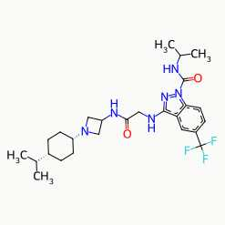 CC(C)NC(=O)n1nc(NCC(=O)NC2CN([C@H]3CC[C@@H](C(C)C)CC3)C2)c2cc(C(F)(F)F)ccc21